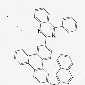 c1ccc(-c2nc(-c3ccc4c(c3)c3ccccc3c3ccc5oc6ccc7ccccc7c6c5c34)nc3ccccc23)cc1